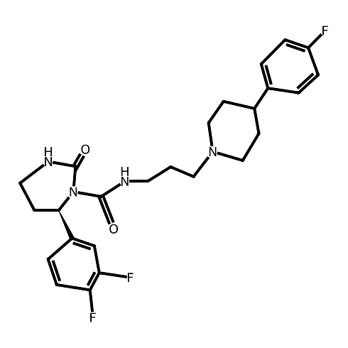 O=C(NCCCN1CCC(c2ccc(F)cc2)CC1)N1C(=O)NCC[C@@H]1c1ccc(F)c(F)c1